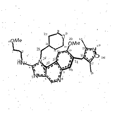 COCCNc1nc2cnc3cc(-c4c(C)noc4C)c(OC)cc3c2n1CC1CCOCC1